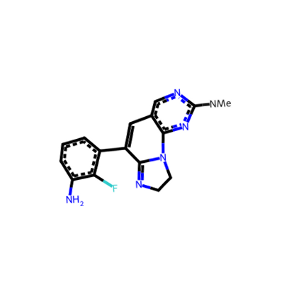 CNc1ncc2c(n1)N1CCN=C1C(c1cccc(N)c1F)=C2